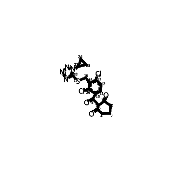 O=C1CCCC(=O)C1C(=O)c1ccc(Cl)c(CSc2nnnn2C2CC2)c1Cl